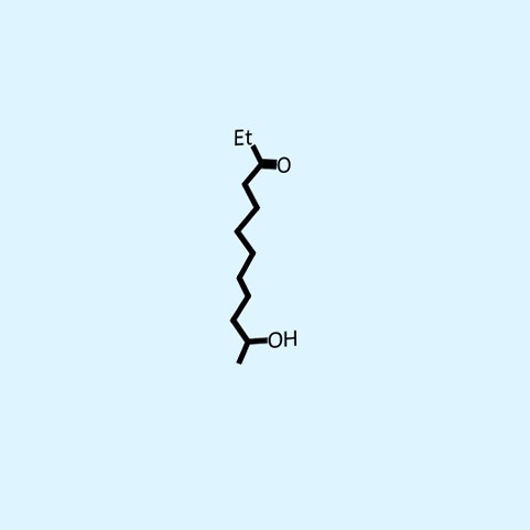 CCC(=O)CCCCCCCC(C)O